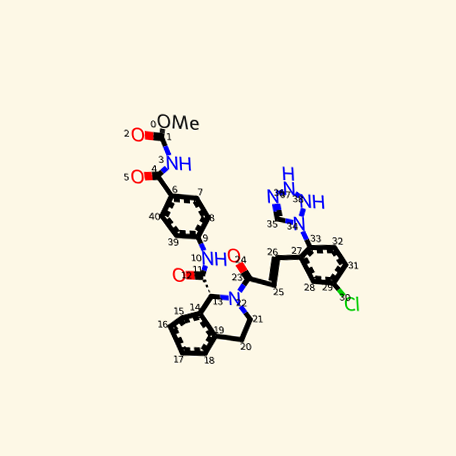 COC(=O)NC(=O)c1ccc(NC(=O)[C@H]2c3ccccc3CCN2C(=O)/C=C/c2cc(Cl)ccc2N2C=NNN2)cc1